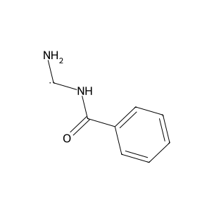 N[CH]NC(=O)c1ccccc1